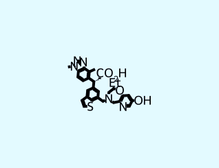 CC[C@@H]1CN(Cc2cc([C@@H](CC(=O)O)c3ccc4c(nnn4C)c3C)cc3ccsc23)Cc2ncc(O)cc2O1